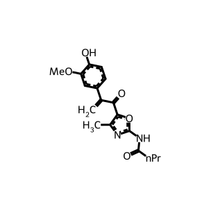 C=C(C(=O)c1oc(NC(=O)CCC)nc1C)c1ccc(O)c(OC)c1